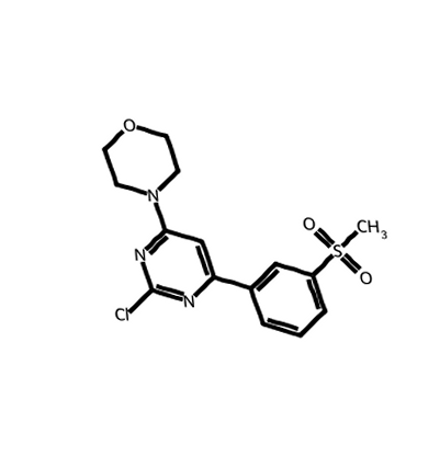 CS(=O)(=O)c1cccc(-c2cc(N3CCOCC3)nc(Cl)n2)c1